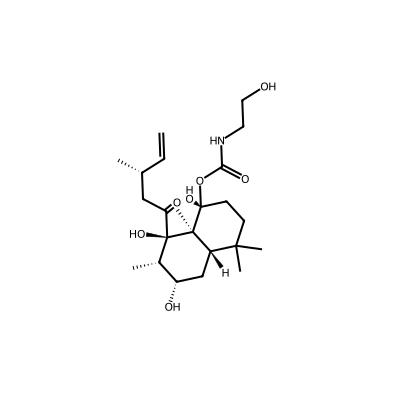 C=C[C@@H](C)CC(=O)[C@@]1(O)[C@@H](C)[C@@H](O)C[C@H]2C(C)(C)CC[C@@](O)(OC(=O)NCCO)[C@@]21C